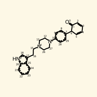 O=C1C=CC=CC1c1ccc(N2CCN(CCc3c[nH]c4ccccc34)CC2)cc1